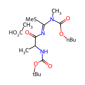 CC(=O)O.CCCCOC(=O)N(C)C(=NC(=O)C(C)NC(=O)OC(C)(C)C)SC